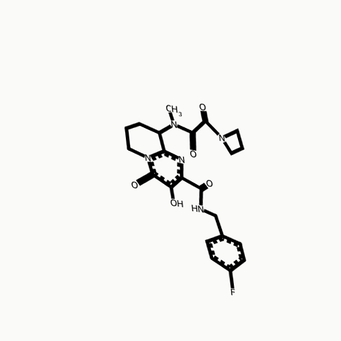 CN(C(=O)C(=O)N1CCC1)C1CCCn2c1nc(C(=O)NCc1ccc(F)cc1)c(O)c2=O